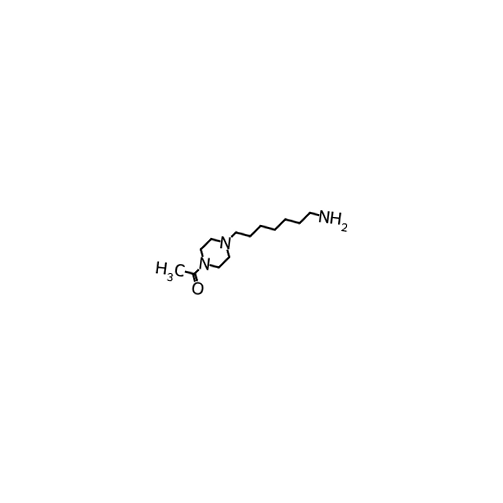 CC(=O)N1CCN(CCCCCCCN)CC1